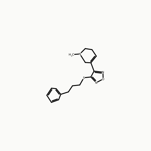 CN1CCC=C(c2nonc2SCCCc2ccccc2)C1